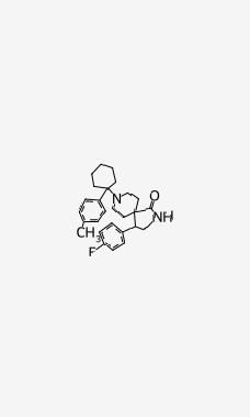 Cc1ccc(C2(N3CCC4(CC3)C(=O)NCC4c3ccc(F)cc3)CCCCC2)cc1